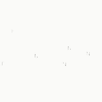 Fc1cc(F)cc(N2CCc3nc(-c4ccccn4)ncc3C2)c1